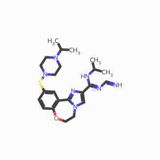 CC(C)N/C(=N\C=N)c1cn2c(n1)-c1cc(SN3CCN(C(C)C)CC3)ccc1OCC2